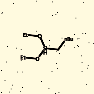 CCCCC[SiH](OCC)OCC